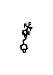 FC(F)(F)c1ccn(CCC2CCOCC2)n1